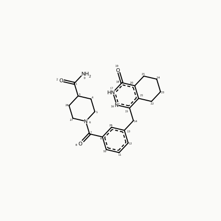 NC(=O)C1CCN(C(=O)c2cccc(Cc3n[nH]c(=O)c4c3CCCC4)c2)CC1